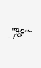 COc1ccc(C2(c3ccccc3)CCNCC2CCCN)cc1